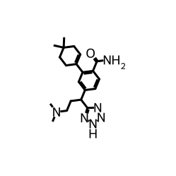 CN(C)CCC(c1ccc(C(N)=O)c(C2=CCC(C)(C)CC2)c1)c1nn[nH]n1